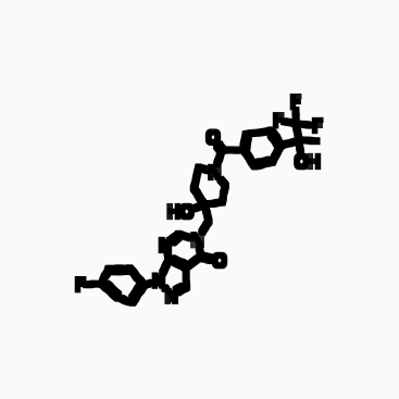 CC(O)(c1ccc(C(=O)N2CCC(O)(Cn3cnc4c(cnn4-c4ccc(F)cc4)c3=O)CC2)cc1)C(F)(F)F